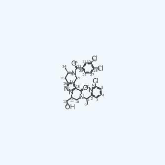 CC(c1cccc(Cl)n1)N1CC(CO)n2nc3c(c2C1=O)CN(C(=O)c1ccc(Cl)c(Cl)c1)[C@H](C)C3